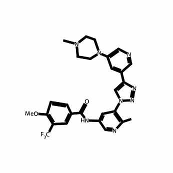 COc1ccc(C(=O)Nc2cnc(C)c(-n3cc(-c4cncc(N5CCN(C)CC5)c4)nn3)c2)cc1C(F)(F)F